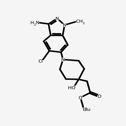 Cn1nc(N)c2cc(Cl)c(N3CCC(O)(CC(=O)OC(C)(C)C)CC3)cc21